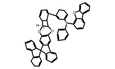 C1=CC2C(C(C3=CC(N(c4ccccc4)c4cccc5c4oc4ccccc45)=CCC3)=C1)C1Oc3cc4c(cc3O[C@@H]21)C1(C2=C(CCC=C2)c2ccccc21)c1ccccc1-4